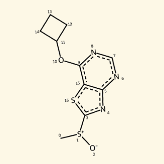 C[S+]([O-])c1nc2ncnc(OC3CCC3)c2s1